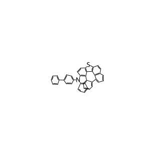 c1ccc(-c2ccc(N(c3ccccc3)c3ccc4sc5ccc6cccc7c6c5c4c3-c3ccccc3-7)cc2)cc1